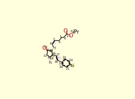 CC(C)OC(=O)CCC/C=C\C[C@H]1C(=O)C[C@@H](C)[C@@H]1/C=C/c1ccc(F)cc1